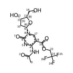 CC(=O)Nc1nc(=O)n([C@H]2C[C@H](O)[C@@H](CO)O2)cc1C(=O)OCC(F)(F)F